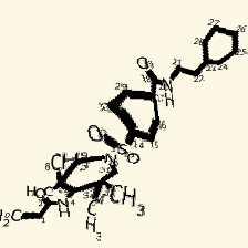 C=CC(=O)NC1C(C)(C)CN(S(=O)(=O)c2ccc(C(=O)NCCC3CCCCC3)cc2)CC1(C)C